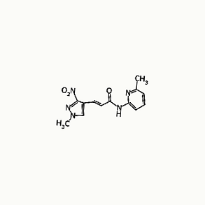 Cc1cccc(NC(=O)C=Cc2cn(C)nc2[N+](=O)[O-])n1